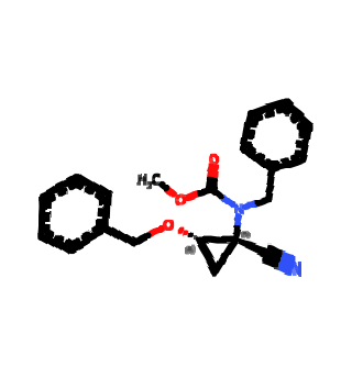 COC(=O)N(Cc1ccccc1)[C@]1(C#N)C[C@@H]1OCc1ccccc1